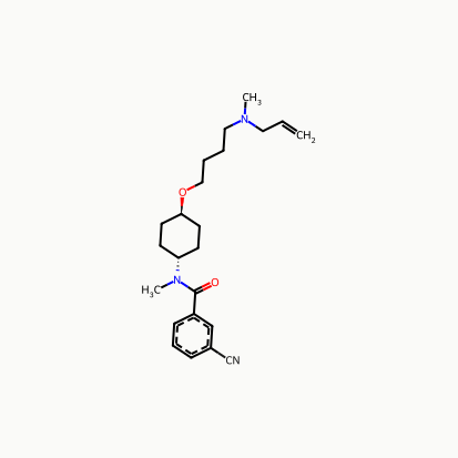 C=CCN(C)CCCCO[C@H]1CC[C@H](N(C)C(=O)c2cccc(C#N)c2)CC1